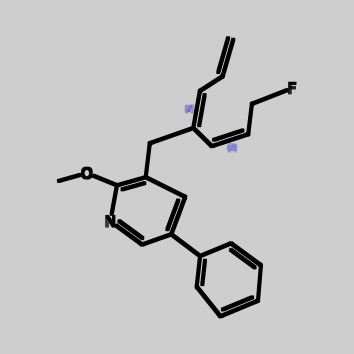 C=C/C=C(\C=C/CF)Cc1cc(-c2ccccc2)cnc1OC